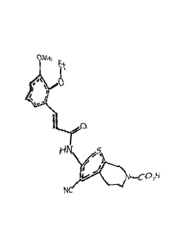 CCOc1c(C=CC(=O)Nc2sc3c(c2C#N)CCN(C(=O)O)C3)cccc1OC